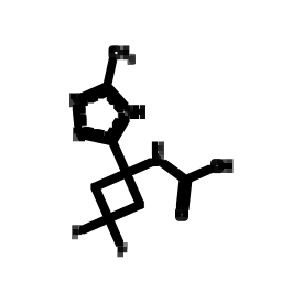 Cc1nnc(C2(NC(=O)O)CC(F)(F)C2)[nH]1